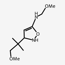 COCNC1=CC(C(C)(C)COC)NO1